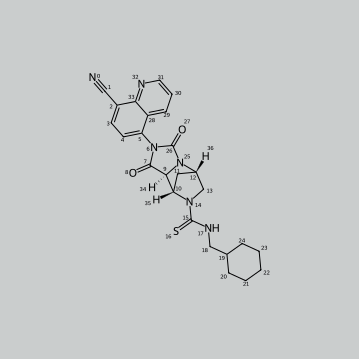 N#Cc1ccc(N2C(=O)[C@@H]3[C@@H]4C[C@@H](CN4C(=S)NCC4CCCCC4)N3C2=O)c2cccnc12